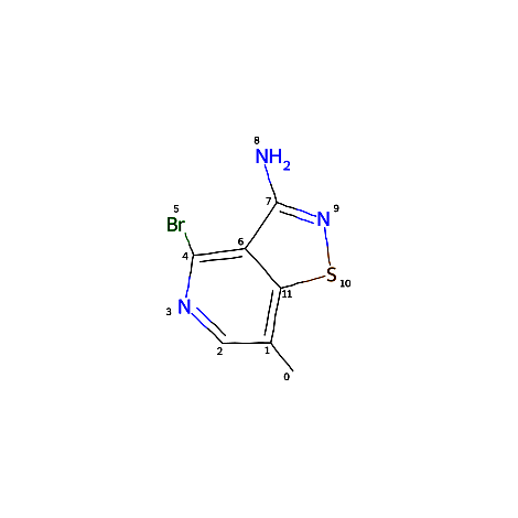 Cc1cnc(Br)c2c(N)nsc12